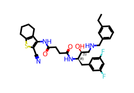 CCc1cccc(CNC[C@H](O)[C@@H](Cc2cc(F)cc(F)c2)NC(=O)CCC(=O)Nc2c(C#N)sc3c2CCCC3)c1